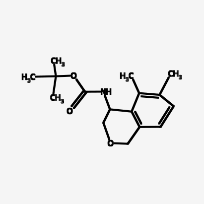 Cc1ccc2c(c1C)C(NC(=O)OC(C)(C)C)COC2